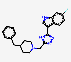 Fc1ccc2c(-c3nnc(CN4CCC(Cc5ccccc5)CC4)[nH]3)c[nH]c2c1